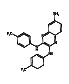 Nc1ccc2nc(NC3=CC=C(C(F)(F)F)CC3)c(NC3=C=C=C(C(F)(F)F)C=C3)nc2c1